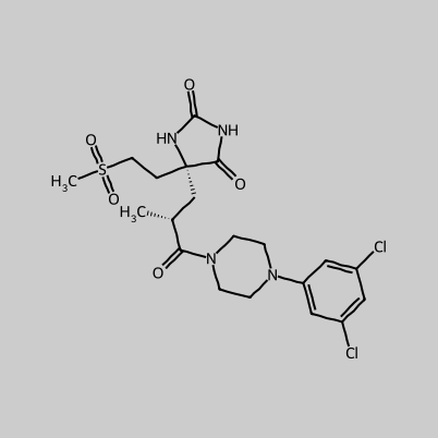 C[C@H](C[C@]1(CCS(C)(=O)=O)NC(=O)NC1=O)C(=O)N1CCN(c2cc(Cl)cc(Cl)c2)CC1